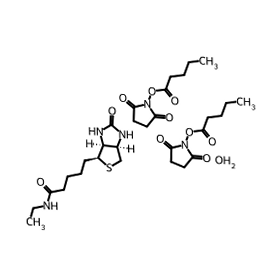 CCCCC(=O)ON1C(=O)CCC1=O.CCCCC(=O)ON1C(=O)CCC1=O.CCNC(=O)CCCC[C@@H]1SC[C@@H]2NC(=O)N[C@@H]21.O